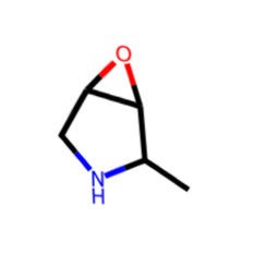 CC1NCC2OC12